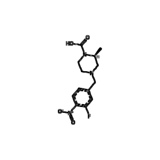 C[C@H]1CN(Cc2ccc([N+](=O)[O-])c(F)c2)CCN1C(=O)O